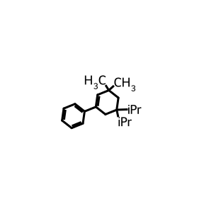 CC(C)C1(C(C)C)CC(c2ccccc2)=CC(C)(C)C1